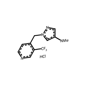 CNc1cnn(Cc2ccncc2C(F)(F)F)c1.Cl